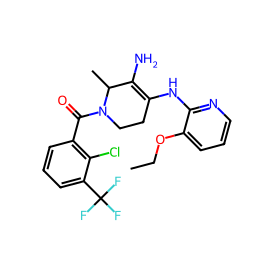 CCOc1cccnc1NC1=C(N)C(C)N(C(=O)c2cccc(C(F)(F)F)c2Cl)CC1